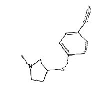 CN1CCC(Sc2ccc(C#N)cc2)C1